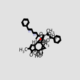 C=C(C)[C@@]12OC3(/C=C/C=C/c4ccccc4)C[C@@]4([C@H]([C@H]1O3)[C@@H]1C[C@]1(CO)[C@@H](O)[C@]1(O)C(=O)C(C)=C[C@H]14)[C@H](C)[C@H]2OC(=O)c1ccccc1